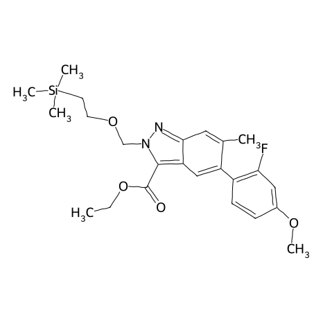 CCOC(=O)c1c2cc(-c3ccc(OC)cc3F)c(C)cc2nn1COCC[Si](C)(C)C